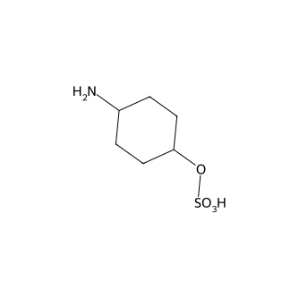 NC1CCC(OS(=O)(=O)O)CC1